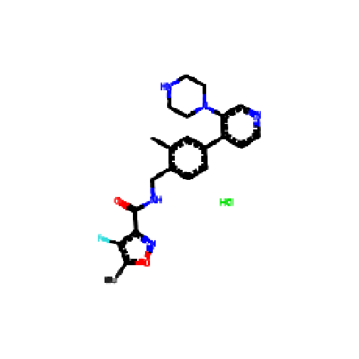 Cc1cc(-c2ccncc2N2CCNCC2)ccc1CNC(=O)c1noc(C(C)(C)C)c1F.Cl